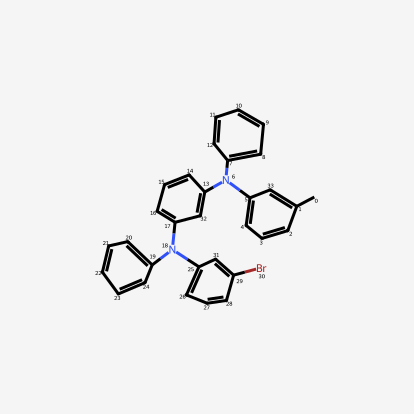 Cc1cccc(N(c2ccccc2)c2cccc(N(c3ccccc3)c3cccc(Br)c3)c2)c1